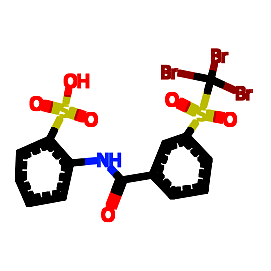 O=C(Nc1ccccc1S(=O)(=O)O)c1cccc(S(=O)(=O)C(Br)(Br)Br)c1